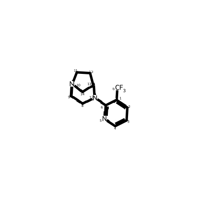 FC(F)(F)c1cccnc1N1CCN2CCC1C2